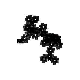 N#Cc1ccc(-c2cc(-c3ccccc3)c(-n3c4ccc(-n5c6ccccc6c6ccccc65)cc4c4cc(-n5c6ccccc6c6cc(-c7cccc8c7Oc7ccccc7N8c7cc(-c8ccc(-c9cc(-c%10ccccc%10)nc(-c%10ccccc%10)c9)cc8)cc(N8c9ccccc9Oc9ccccc98)c7N7c8ccccc8Oc8ccccc87)ccc65)ccc43)c(-c3ccccc3)c2)cc1